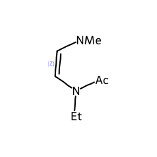 CCN(/C=C\NC)C(C)=O